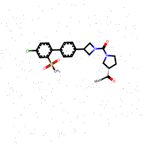 CNC(=O)[C@H]1CCN(C(=O)N2CC(c3ccc(-c4ccc(Cl)cc4S(C)(=O)=O)cc3)C2)C1